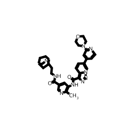 Cc1ncc(C(=O)NCCN2CC3CCC2CC3)cc1NC(=O)c1nnn2cc(-c3ccnc(N4CCOCC4)c3)ccc12